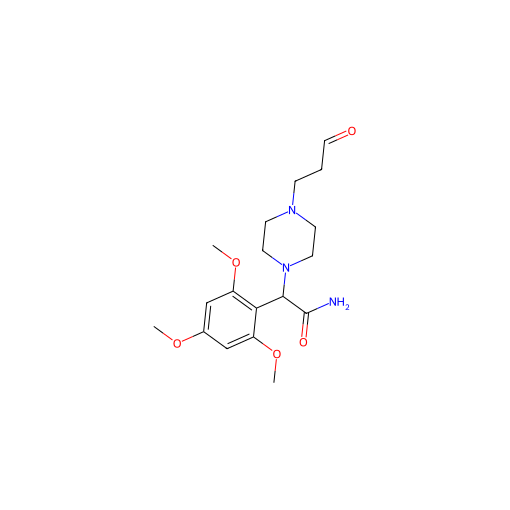 COc1cc(OC)c(C(C(N)=O)N2CCN(CCC=O)CC2)c(OC)c1